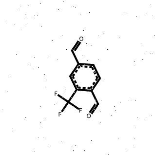 O=Cc1ccc(C=O)c(C(F)(F)F)c1